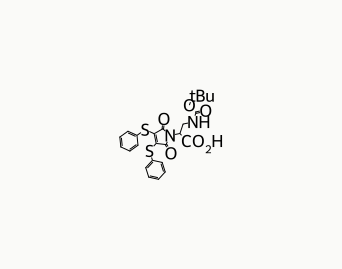 CC(C)(C)OC(=O)NCC(C(=O)O)N1C(=O)C(Sc2ccccc2)=C(Sc2ccccc2)C1=O